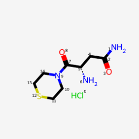 Cl.NC(=O)C[C@H](N)C(=O)N1CCSCC1